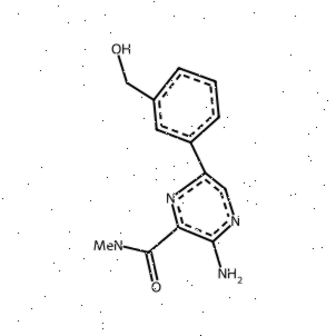 CNC(=O)c1nc(-c2cccc(CO)c2)cnc1N